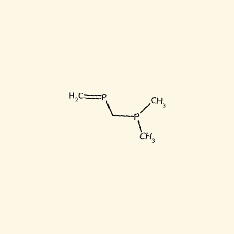 C=PCP(C)C